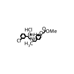 CCCCCCOC(CNC(C)Cc1ccc(OCC(=O)OC)cc1)c1cccc(Cl)c1.Cl